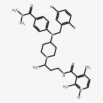 Cc1cc[n+]([O-])c(C)c1C(=O)NCCC(C)N1CCC(N(Cc2cc(Cl)ccc2F)c2ccc(C(=O)N(C)C)cc2)CC1